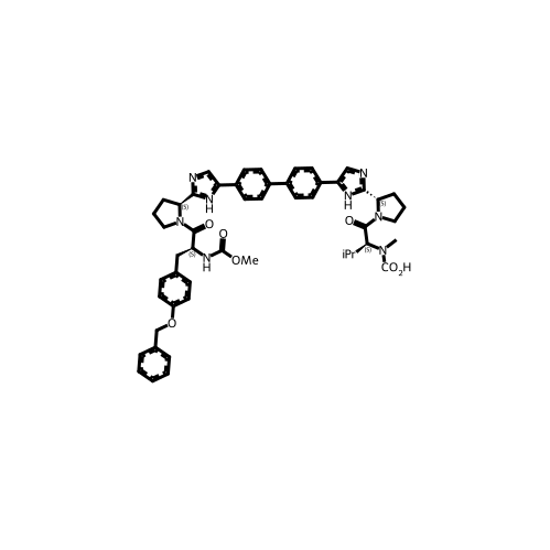 COC(=O)N[C@@H](Cc1ccc(OCc2ccccc2)cc1)C(=O)N1CCC[C@H]1c1ncc(-c2ccc(-c3ccc(-c4cnc([C@@H]5CCCN5C(=O)[C@H](C(C)C)N(C)C(=O)O)[nH]4)cc3)cc2)[nH]1